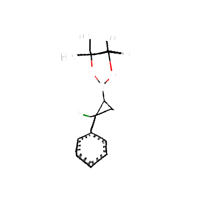 CC1(C)OB(C2CC2(F)c2ccccc2)OC1(C)C